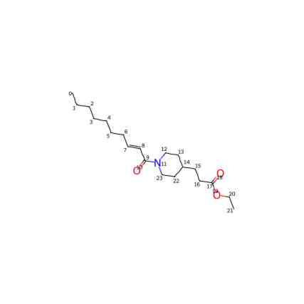 CCCCCCCC=CC(=O)N1CCC(CCC(=O)OCC)CC1